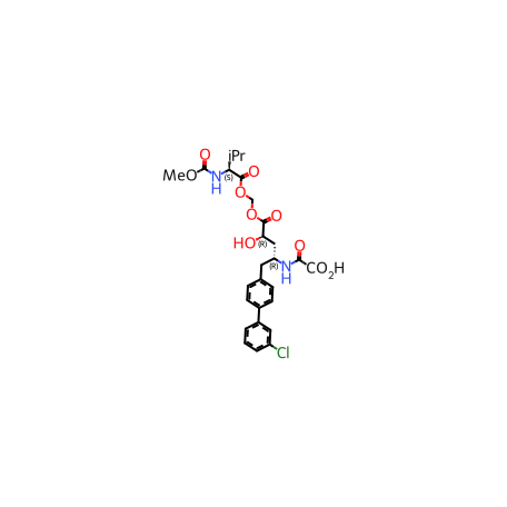 COC(=O)N[C@H](C(=O)OCOC(=O)[C@H](O)C[C@@H](Cc1ccc(-c2cccc(Cl)c2)cc1)NC(=O)C(=O)O)C(C)C